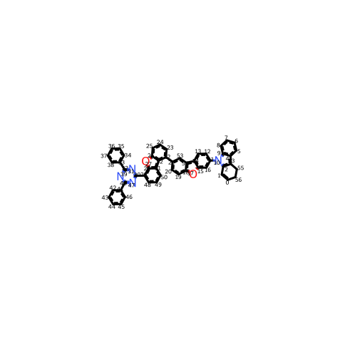 C1=Cc2c(c3ccccc3n2-c2ccc3c(c2)oc2ccc(-c4cccc5oc6c(-c7nc(-c8ccccc8)nc(-c8ccccc8)n7)cccc6c45)cc23)CC1